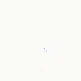 C#CCN1C(=O)OCC1c1ccccc1